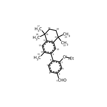 CCOc1cc(C=O)ccc1-c1cc2c(cc1C)C(C)(C)CCC2(C)C